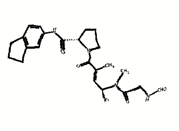 C/C(=C\[C@H](C(C)C)N(C)C(=O)CNC=O)C(=O)N1CCC[C@H]1C(=O)Nc1ccc2c(c1)CCC2